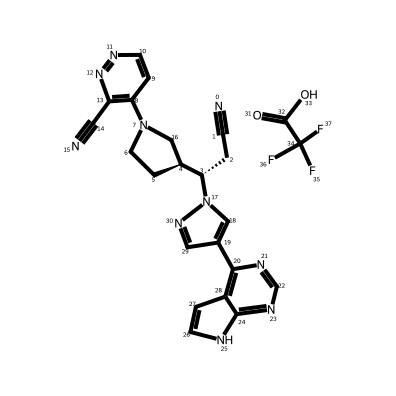 N#CC[C@@H]([C@H]1CCN(c2ccnnc2C#N)C1)n1cc(-c2ncnc3[nH]ccc23)cn1.O=C(O)C(F)(F)F